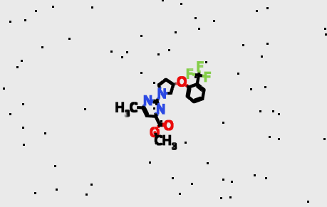 COC(=O)c1cc(C)nc(N2CC[C@H](Oc3ccccc3C(F)(F)F)C2)n1